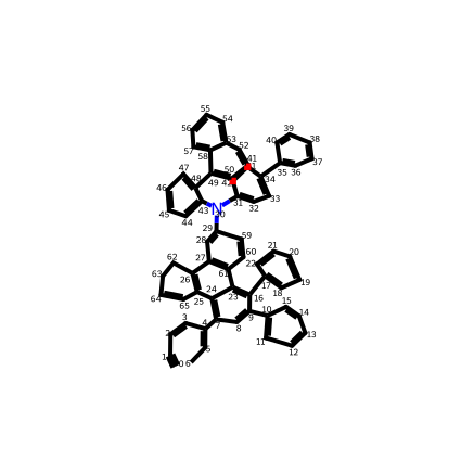 C#C/C=C\C(=C/C)c1cc(-c2ccccc2)c(-c2ccccc2)c2c1c1c(c3cc(N(C4=CC=C(c5ccccc5)CC4)c4ccccc4-c4cccc5ccccc45)ccc32)CCC=C1